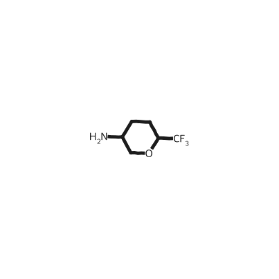 NC1CCC(C(F)(F)F)OC1